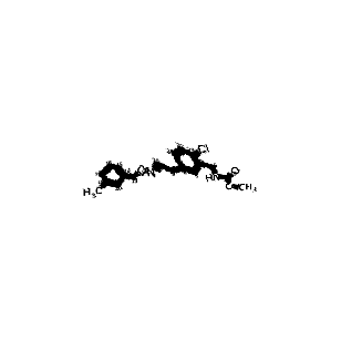 COC(=O)NCc1cc(CC=NOCc2cccc(C)c2)ccc1Cl